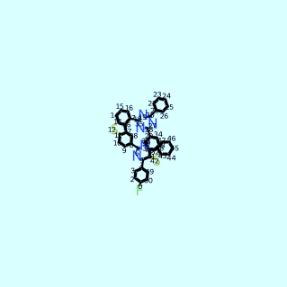 Fc1ccc(-c2nc(-c3ccc4sc5cccc(-c6nc(-c7ccccc7)nc(-c7ccccc7)n6)c5c4c3)nc3c2sc2ccccc23)cc1